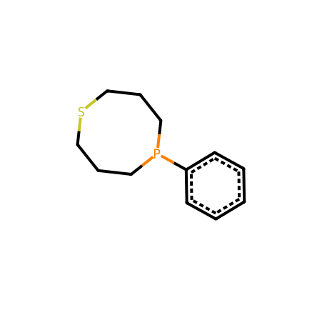 c1ccc(P2CCCSCCC2)cc1